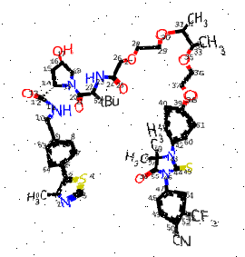 Cc1ncsc1-c1ccc(CNC(=O)[C@@H]2C[C@@H](O)CN2C(=O)C(NC(=O)COCCOC(C)C(C)OCCOc2ccc(N3C(=S)N(c4ccc(C#N)c(C(F)(F)F)c4)C(=O)C3(C)C)cc2)C(C)(C)C)cc1